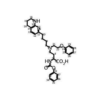 O=C(NC(CCN(CCCCc1ccc2c(n1)NCCC2)CCOc1ccccc1)C(=O)O)Oc1ccccc1